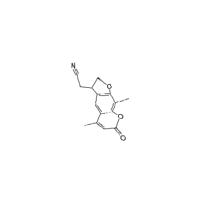 Cc1cc(=O)oc2c(C)c3c(cc12)C(CC#N)CO3